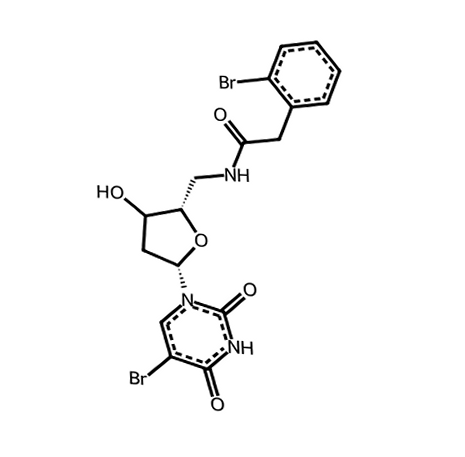 O=C(Cc1ccccc1Br)NC[C@@H]1O[C@H](n2cc(Br)c(=O)[nH]c2=O)CC1O